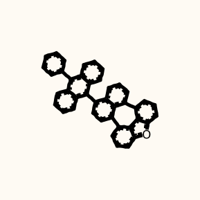 c1ccc(-c2c3ccccc3c(-c3ccc4c5c(cccc35)-c3cccc5oc6cccc-4c6c35)c3ccccc23)cc1